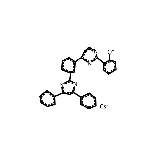 [Cs+].[O-]c1ccccc1-c1nccc(-c2cccc(-c3nc(-c4ccccc4)cc(-c4ccccc4)n3)c2)n1